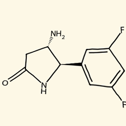 N[C@H]1CC(=O)N[C@@H]1c1cc(F)cc(F)c1